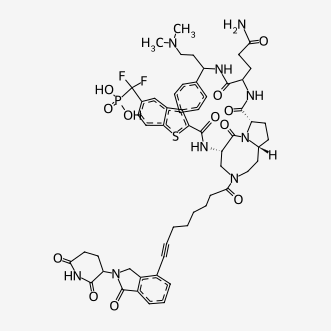 CN(C)CCC(NC(=O)C(CCC(N)=O)NC(=O)[C@@H]1CC[C@@H]2CCN(C(=O)CCCCCC#Cc3cccc4c3CN(C3CCC(=O)NC3=O)C4=O)C[C@H](NC(=O)c3cc4cc(C(F)(F)P(=O)(O)O)ccc4s3)C(=O)N21)c1ccccc1